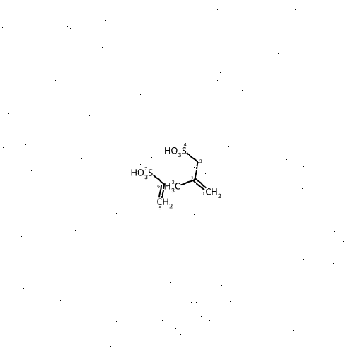 C=C(C)CS(=O)(=O)O.C=CS(=O)(=O)O